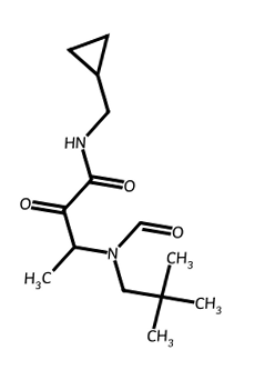 CC(C(=O)C(=O)NCC1CC1)N(C=O)CC(C)(C)C